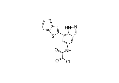 O=C(Cl)C(=O)Nc1cc(-c2cc3ccccc3s2)c2[nH]ncc2c1